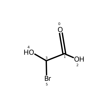 O=C(O)C(O)Br